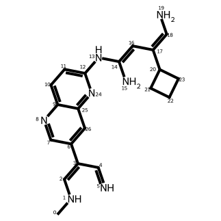 CN/C=C(\C=N)c1cnc2ccc(N/C(N)=C/C(=C\N)C3CCC3)nc2c1